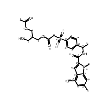 CC(=O)OCC(CO)COC(=O)CS(=O)(=O)c1ccc(C(C)NC(=O)c2cc3c(Cl)cc(C)cc3n2C)cc1